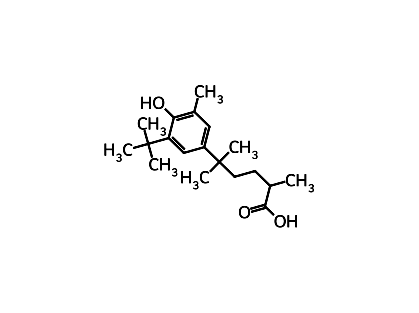 Cc1cc(C(C)(C)CCC(C)C(=O)O)cc(C(C)(C)C)c1O